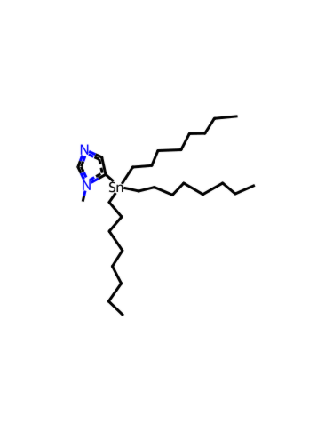 CCCCCCC[CH2][Sn]([CH2]CCCCCCC)([CH2]CCCCCCC)[c]1cncn1C